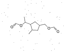 CC1CC(COC=O)CC1C(C)OC=O